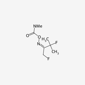 CNC(=O)ON=C(CF)C(C)(C)F